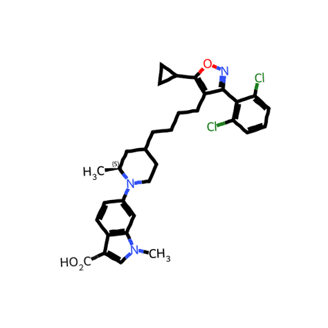 C[C@H]1CC(CCCCc2c(-c3c(Cl)cccc3Cl)noc2C2CC2)CCN1c1ccc2c(C(=O)O)cn(C)c2c1